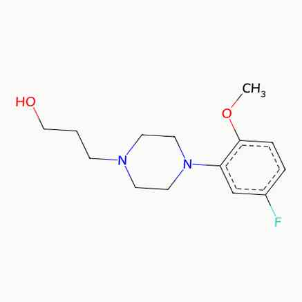 COc1ccc(F)cc1N1CCN(CCCO)CC1